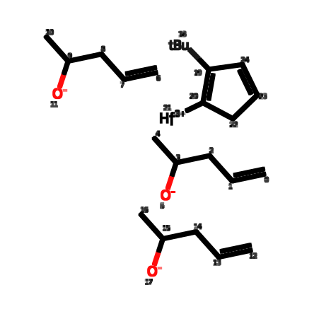 C=CCC(C)[O-].C=CCC(C)[O-].C=CCC(C)[O-].CC(C)(C)C1=[C]([Hf+3])CC=C1